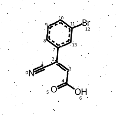 N#C/C(=C\C(=O)O)c1cccc(Br)c1